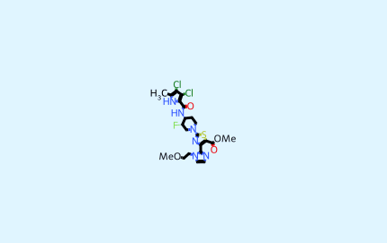 COCCn1ccnc1-c1nc(N2CC[C@@H](NC(=O)c3[nH]c(C)c(Cl)c3Cl)[C@@H](F)C2)sc1C(=O)OC